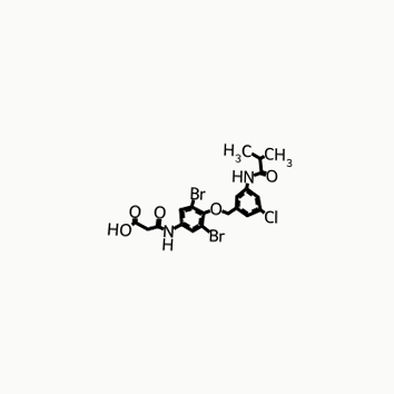 CC(C)C(=O)Nc1cc(Cl)cc(COc2c(Br)cc(NC(=O)CC(=O)O)cc2Br)c1